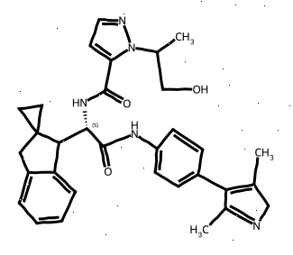 CC1=NCC(C)=C1c1ccc(NC(=O)[C@@H](NC(=O)c2ccnn2C(C)CO)C2c3ccccc3CC23CC3)cc1